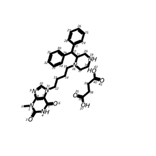 Cn1c(=O)[nH]c(=O)c2c1ncn2CCCCN1CCNCC1C(c1ccccc1)c1ccccc1.O=C(O)CCC(=O)O